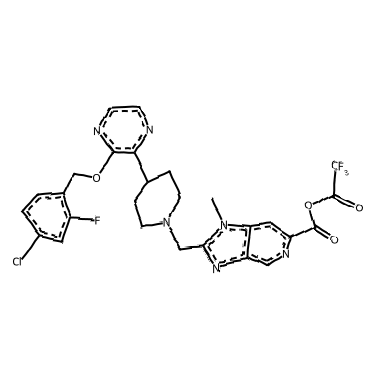 Cn1c(CN2CCC(c3nccnc3OCc3ccc(Cl)cc3F)CC2)nc2cnc(C(=O)OC(=O)C(F)(F)F)cc21